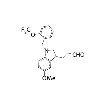 COc1ccc2c(c1)C(CCC=O)CN2Cc1ccccc1OC(F)(F)F